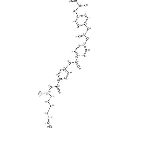 CCCCCCCCCC(=O)Oc1ccc(OC(=O)Oc2ccc(C(=O)Oc3ccc(C(=O)O[C@H](CCCCCOCC)C(F)(F)F)cc3)cc2)cc1